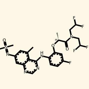 Cc1cc(N=S(C)(C)=O)cc2ncnc(Nc3ccc(F)cc3O[C@H](C)C(=O)N(CC(F)F)CC(F)F)c12